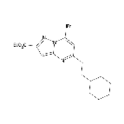 CCOC(=O)c1cc2nc(CCC3CCCCC3)cc(C(C)C)n2n1